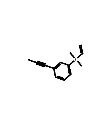 C=C[Si](C)(C)c1cccc(C#CC)c1